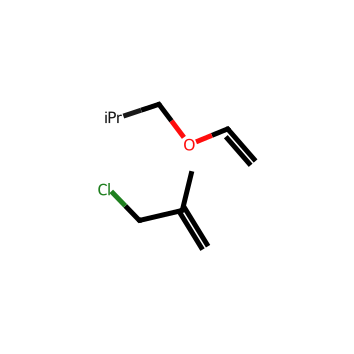 C=C(C)CCl.C=COCC(C)C